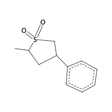 CC1CC(c2ccccc2)CS1(=O)=O